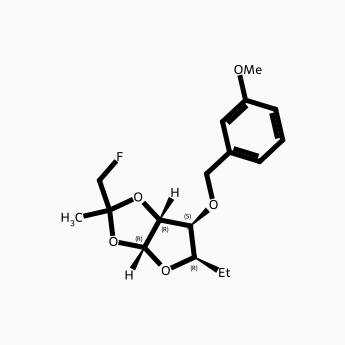 CC[C@H]1O[C@@H]2OC(C)(CF)O[C@@H]2[C@H]1OCc1cccc(OC)c1